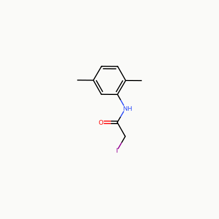 Cc1ccc(C)c(NC(=O)CI)c1